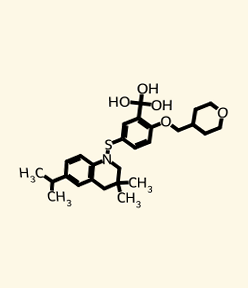 CC(C)c1ccc2c(c1)CC(C)(C)CN2Sc1ccc(OCC2CCOCC2)c(C(O)(O)O)c1